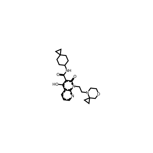 O=C(NC1CCC2(CC1)CC2)c1c(O)c2cccnc2n(CCN2CCOCC23CC3)c1=O